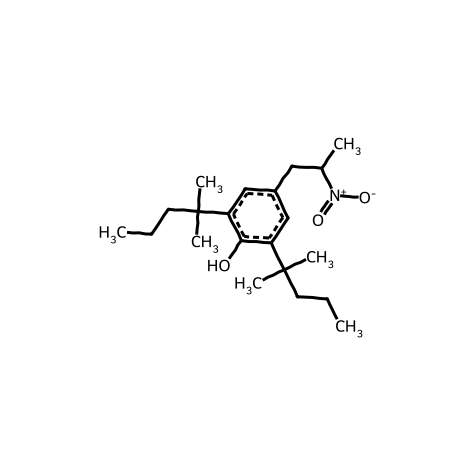 CCCC(C)(C)c1cc(CC(C)[N+](=O)[O-])cc(C(C)(C)CCC)c1O